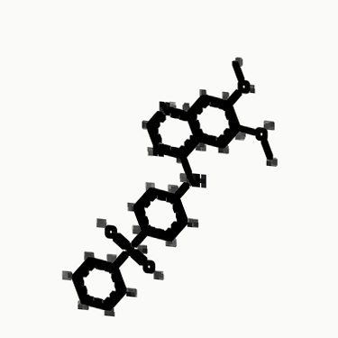 COc1cc2ncnc(Nc3ccc(S(=O)(=O)c4ccccc4)cc3)c2cc1OC